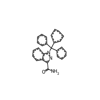 NC(=O)c1nn(C(c2ccccc2)(c2ccccc2)c2ccccc2)c2ccccc12